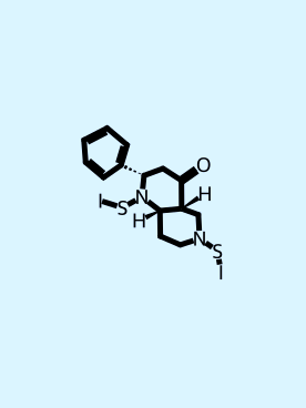 O=C1C[C@@H](c2ccccc2)N(SI)[C@H]2CCN(SI)C[C@@H]12